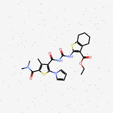 CCOC(=O)c1c(NC(=O)NC(=O)c2c(-n3cccc3)sc(C(=O)N(C)C)c2C)sc2c1CCCC2